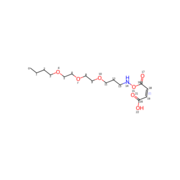 CCCCOCCOCCOCCCNOC(=O)/C=C\C(=O)O